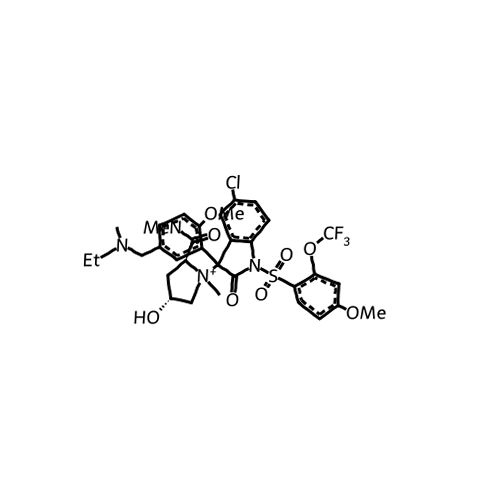 CCN(C)Cc1ccc(OC)c(C2([N+]3(C)C[C@H](O)C[C@H]3C(=O)NC)C(=O)N(S(=O)(=O)c3ccc(OC)cc3OC(F)(F)F)c3ccc(Cl)cc32)c1